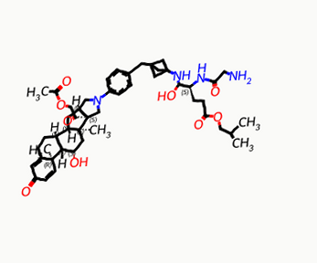 CC(=O)OCC(=O)[C@@]12CN(c3ccc(CC45CC(NC(O)[C@H](CCC(=O)OCC(C)C)NC(=O)CN)(C4)C5)cc3)C[C@@H]1C[C@H]1[C@@H]3CCC4=CC(=O)C=C[C@]4(C)[C@H]3[C@@H](O)C[C@@]12C